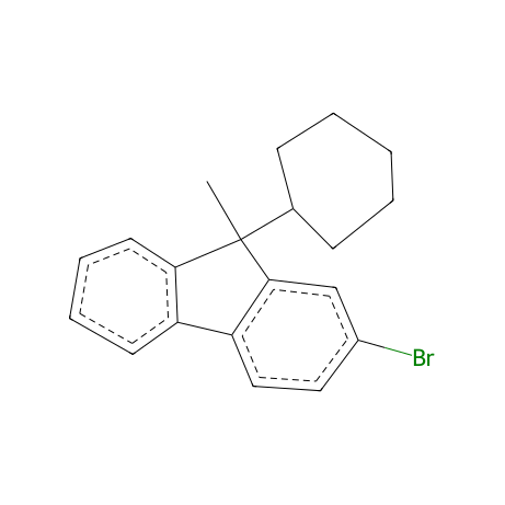 CC1(C2CCCCC2)c2ccccc2-c2ccc(Br)cc21